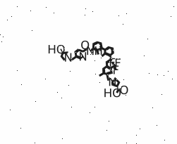 Cc1cc(/C=C/c2cccc(-c3cccc(NC(=O)c4ccc(CN5CC[C@@H](O)C5)cn4)c3C)c2C)c(C(F)(F)F)cc1CN1CC[C@@H](C(=O)O)C1